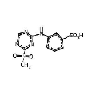 CS(=O)(=O)c1ncnc(Nc2cccc(S(=O)(=O)O)c2)n1